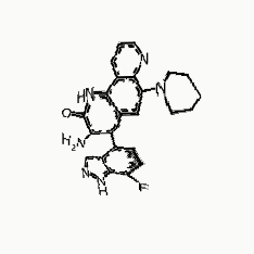 Nc1c(-c2ccc(F)c3[nH]ncc23)c2cc(N3CCCCC3)c3ncccc3c2[nH]c1=O